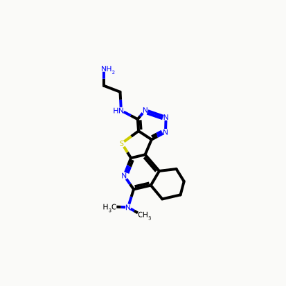 CN(C)c1nc2sc3c(NCCN)nnnc3c2c2c1CCCC2